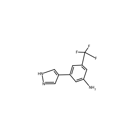 Nc1cc(-c2cn[nH]c2)cc(C(F)(F)F)c1